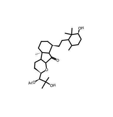 CC(=O)O[C@@H]([C@H]1CCC2C(O1)C(=O)C1[C@H](CCC3C(C)CC[C@H](O)C3(C)C)CCC[C@]21C)C(C)(C)O